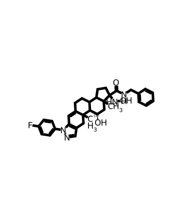 CC12Cc3cnn(-c4ccc(F)cc4)c3C=C1CCC1C2[C@@H](O)CC2(C)C1CCC2(NO)C(=O)NCc1ccccc1